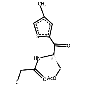 CC(=O)OC[C@H](NC(=O)CCl)C(=O)c1cc(C)cs1